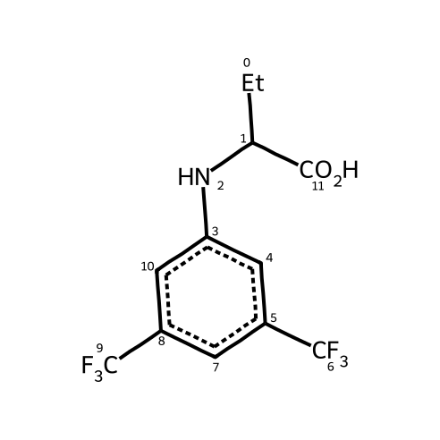 CCC(Nc1cc(C(F)(F)F)cc(C(F)(F)F)c1)C(=O)O